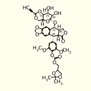 C#C[C@@H]1OC[C@H]2O[C@@H](O[C@@H]3c4cc5c(cc4[C@@H](c4cc(OC)c(OC(=O)OCC6COC(C)(C)O6)c(OC)c4)[C@H]4C(=O)OC[C@@H]43)OCO5)[C@H](O)[C@H](O)[C@@H]2O1